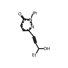 CCC(O)C#Cc1ccc(=O)n(C(C)C)n1